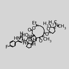 CC[C@H]1CCC[C@H](O[C@H]2CC[C@H](N(C)C)C(C)O2)[C@@H](C)C(=O)C2=C[C@H]3[C@@H]4CCC[C@H]4C(N4C=C(c5ccc(F)cc5)NN4)C(O)[C@H]3[C@@H]2CC(=O)O1